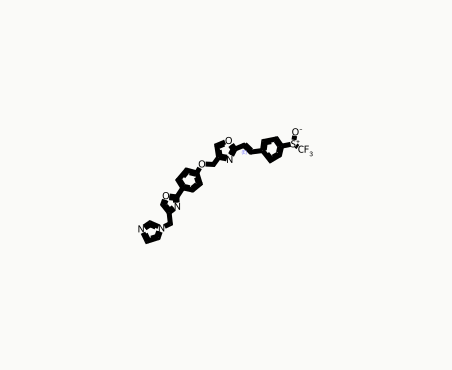 [O-][S+](c1ccc(/C=C/c2nc(COc3ccc(-c4nc(Cn5ccnc5)co4)cc3)co2)cc1)C(F)(F)F